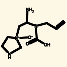 C=CCN(C(=O)O)C(N)C[N+]1([O-])CCNC1